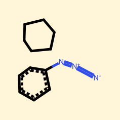 C1CCCCC1.[N-]=[N+]=Nc1ccccc1